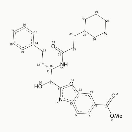 COC(=O)c1ccc2nc(C(O)[C@H](CCc3ccccc3)NC(=O)CCC3CCCCC3)oc2c1